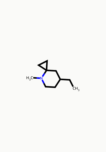 CCC1CCN(C)C2(CC2)C1